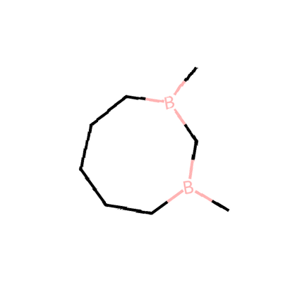 CB1CCCCCB(C)C1